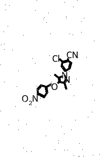 Cc1nn(-c2ccc(C#N)c(Cl)c2)c(C)c1OCc1ccc([N+](=O)[O-])cc1